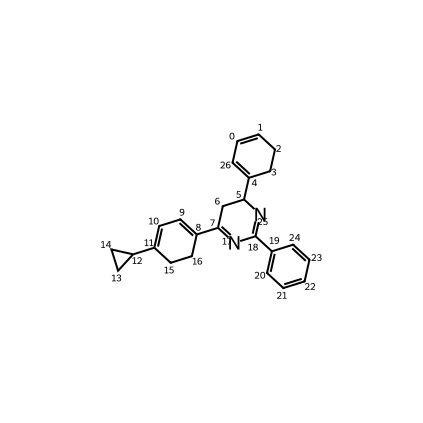 C1=CCCC(C2CC(C3=CC=C(C4CC4)CC3)=NC(c3ccccc3)=N2)=C1